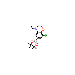 CCN1CCOc2c(F)cc(B3OC(C)(C)C(C)(C)O3)cc21